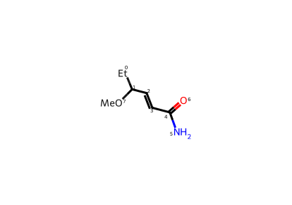 CCC(C=CC(N)=O)OC